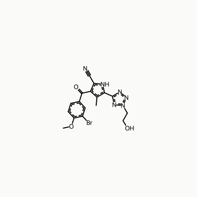 COc1ccc(C(=O)c2c(C#N)[nH]c(-c3nnn(CCO)n3)c2C)cc1Br